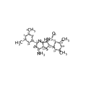 Cc1cc(C)cc(-c2nc(N)c3sc(-c4cc(C)cc(C)c4)c(NC=O)c3n2)c1